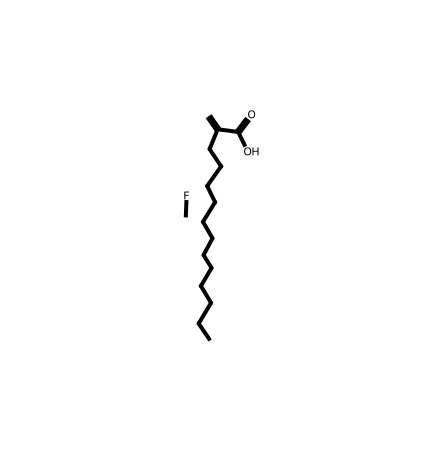 C=C(CCCCCCCCCCCC)C(=O)O.CF